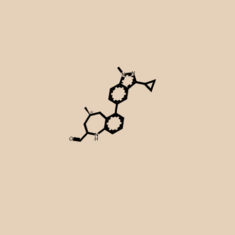 C[C@H]1Cc2c(cccc2-c2ccc3c(c2)c(C2CC2)nn3C)NC(C=O)C1